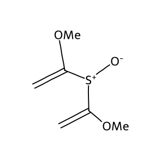 C=C(OC)[S+]([O-])C(=C)OC